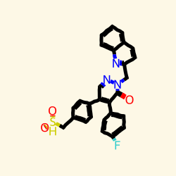 O=c1c(-c2ccc(F)cc2)c(-c2ccc(C[SH](=O)=O)cc2)cnn1Cc1ccc2ccccc2n1